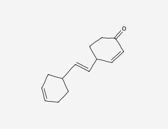 O=C1C=CC(C=CC2CC=CCC2)CC1